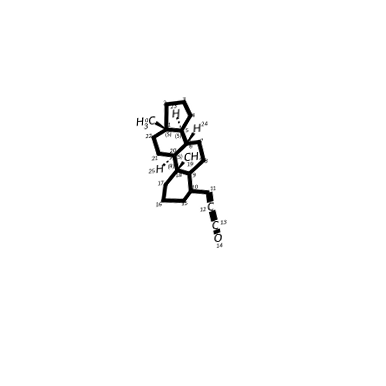 C[C@@]12CCC[C@H]1[C@@H]1CCC3C(C=C=C=O)CCC[C@]3(C)[C@H]1CC2